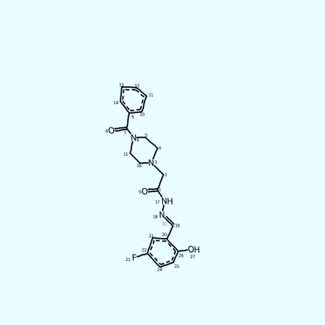 O=C(CN1CCN(C(=O)c2ccccc2)CC1)N/N=C/c1cc(F)ccc1O